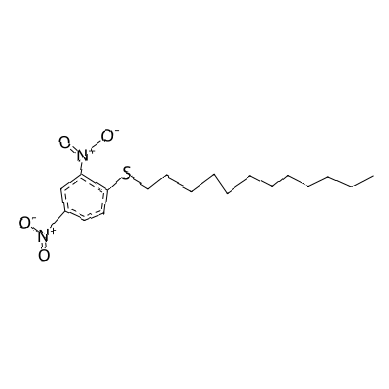 CCCCCCCCCCCCSc1ccc([N+](=O)[O-])cc1[N+](=O)[O-]